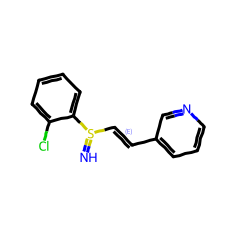 N=S(/C=C/c1cccnc1)c1ccccc1Cl